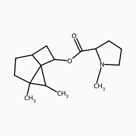 CC1C2(C)CCC3CC(OC(=O)C4CCCN4C)C312